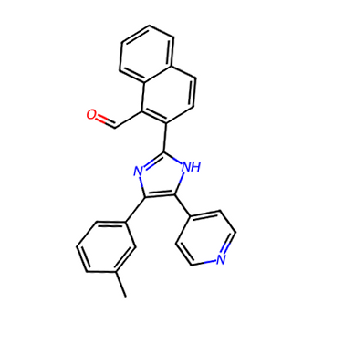 Cc1cccc(-c2nc(-c3ccc4ccccc4c3C=O)[nH]c2-c2ccncc2)c1